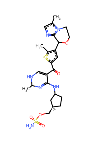 Cc1sc(C(=O)C2=CNC(C)N=C2NC2CC[C@@H](COS(N)(=O)=O)C2)cc1C1OCCn2c(C)cnc21